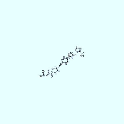 CC(O)c1nccn1Cc1cc(-c2ccc(C#Cc3ccc(C(=O)NCC(=O)O)cc3)cc2)on1